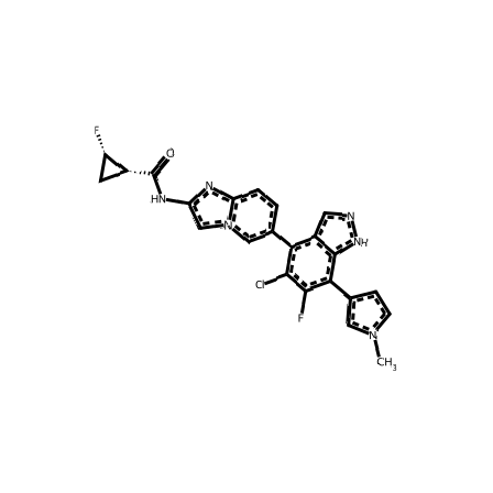 Cn1ccc(-c2c(F)c(Cl)c(-c3ccc4nc(NC(=O)[C@@H]5C[C@@H]5F)cn4c3)c3cn[nH]c23)c1